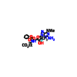 CCOC(=O)[C@H](C)N[P@](=O)(OC[C@H]1O[C@@H](n2cnc3c(NC)nc(N)nc32)[C@@](F)(C(F)(F)F)[C@@H]1O)Oc1ccccc1